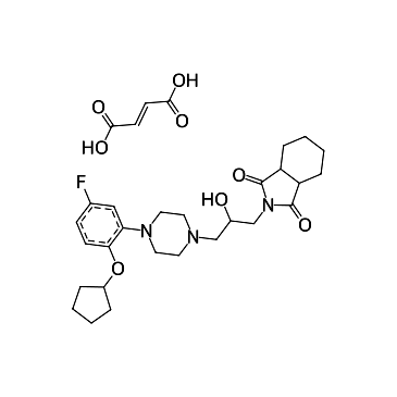 O=C(O)C=CC(=O)O.O=C1C2CCCCC2C(=O)N1CC(O)CN1CCN(c2cc(F)ccc2OC2CCCC2)CC1